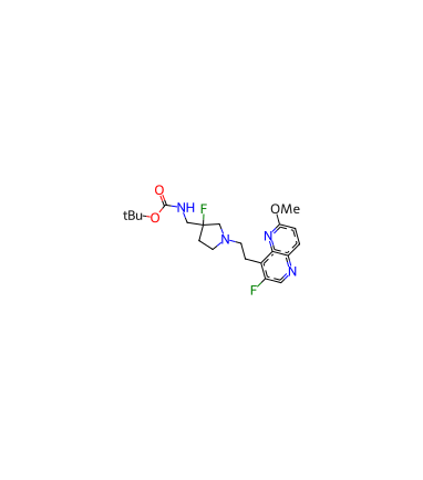 COc1ccc2ncc(F)c(CCN3CCC(F)(CNC(=O)OC(C)(C)C)C3)c2n1